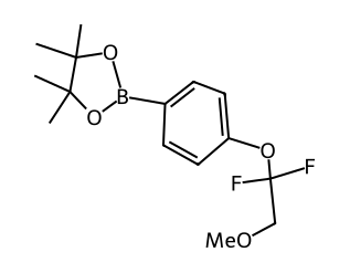 COCC(F)(F)Oc1ccc(B2OC(C)(C)C(C)(C)O2)cc1